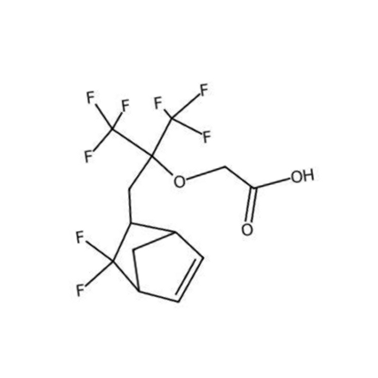 O=C(O)COC(CC1C2C=CC(C2)C1(F)F)(C(F)(F)F)C(F)(F)F